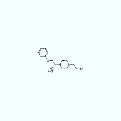 Cl.Cl.ClCCN1CCN(CCOc2ccccc2)CC1